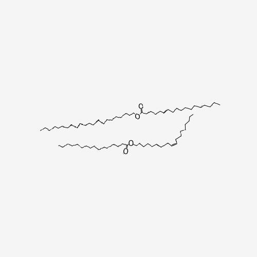 CCCCCCCC/C=C\CCCCCCCCOC(=O)CCCCCCCCCCCCCCC.CCCCCCCCCCCCCCCCCCCCCCOC(=O)CCCCCCCCCCCCCCCCC